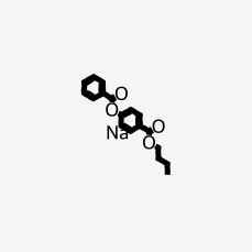 CCCCOC(=O)c1ccc(OC(=O)c2ccccc2)cc1.[Na]